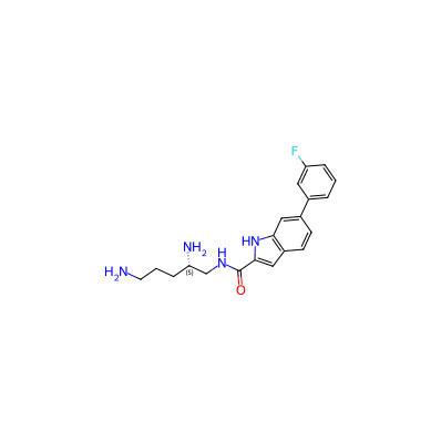 NCCC[C@H](N)CNC(=O)c1cc2ccc(-c3cccc(F)c3)cc2[nH]1